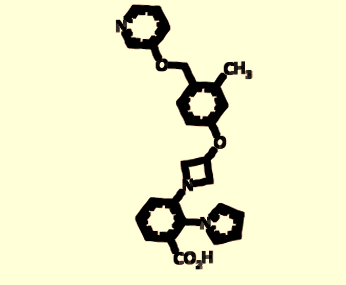 Cc1cc(OC2CN(c3cccc(C(=O)O)c3-n3cccc3)C2)ccc1COc1cccnc1